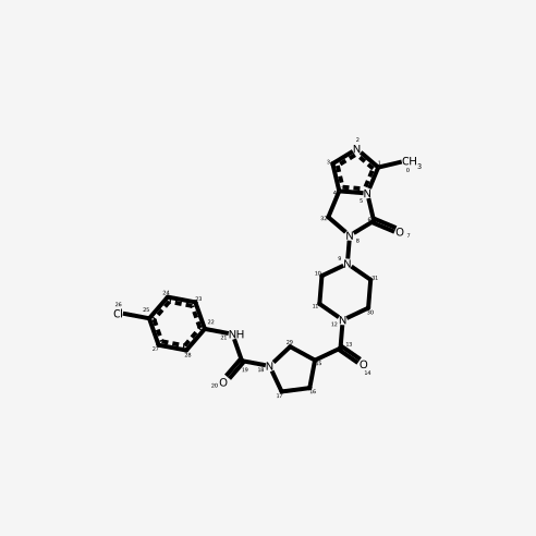 Cc1ncc2n1C(=O)N(N1CCN(C(=O)C3CCN(C(=O)Nc4ccc(Cl)cc4)C3)CC1)C2